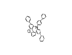 c1ccc(-c2ccc(N(c3ccc(-c4ccccc4)cc3)c3cc(-c4ccccc4)cc4oc5ccccc5c34)cc2)cc1